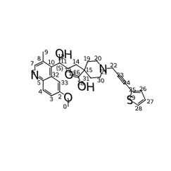 COc1ccc2ncc(C)c([C@@H](O)CCC3(C(=O)O)CCN(CC#Cc4cccs4)CC3)c2c1